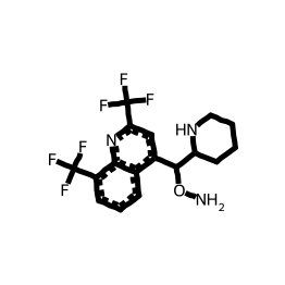 NOC(c1cc(C(F)(F)F)nc2c(C(F)(F)F)cccc12)C1CCCCN1